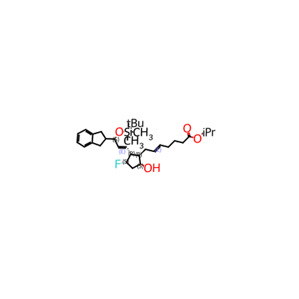 CC(C)OC(=O)CCC/C=C/C[C@@H]1[C@@H](/C=C/[C@@H](O[Si](C)(C)C(C)(C)C)C2Cc3ccccc3C2)[C@@H](F)C[C@@H]1O